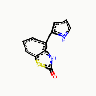 O=c1[nH]c2c(-c3ccc[nH]3)cccc2s1